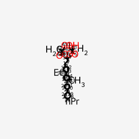 C=C(CO)C(=O)OCC(CCc1ccc(-c2ccc(C3CCC(C4CCC(CCC)CC4)CC3)c(C)c2)c(CC)c1)COC(=O)C(=C)CO